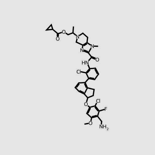 COc1cc(OC2CCc3c(-c4cccc(NC(=O)c5nc6c(n5C)CCN(C(C)COC(=O)C5CC5)C6)c4Cl)cccc32)c(Cl)c(F)c1CN